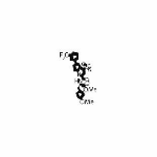 COC(=O)[C@H](Cc1ccc(OC)cc1)NC(=O)c1cc(S(C)(=O)=O)c2cc(-c3cccc(C(F)(F)F)c3)ccc2n1